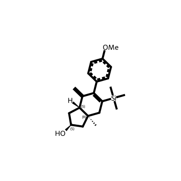 C=C1C(c2ccc(OC)cc2)=C([Si](C)(C)C)C[C@@]2(C)C[C@@H](O)C[C@H]12